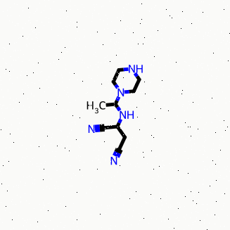 CC(NC(C#N)CC#N)N1CCNCC1